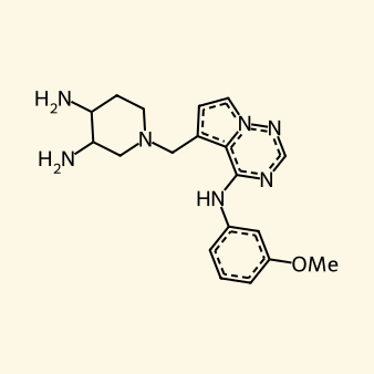 COc1cccc(Nc2ncnn3ccc(CN4CCC(N)C(N)C4)c23)c1